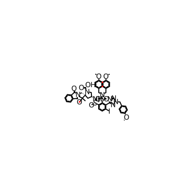 COc1ccc(CN(Cc2ccc(OC)cc2)S(=O)(=O)c2c([S+]([O-])N[C@H]3CN(C(=O)O)[C@](CN4C(=O)c5ccccc5C4=O)(C(C)(C)C)C3)ccc(I)c2-c2nnn(Cc3ccc(OC)cc3)n2)cc1